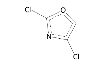 Clc1coc(Cl)n1